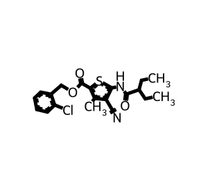 CCC(CC)C(=O)Nc1sc(C(=O)OCc2ccccc2Cl)c(C)c1C#N